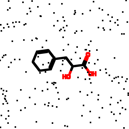 O=C(O)C(O)CC1=CCCC=C1